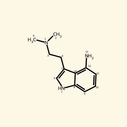 CN(C)CCc1c[nH]c2cccc(N)c12